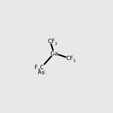 F[C](F)(F)[Ga]([C](F)(F)F)[C](F)(F)F.[As]